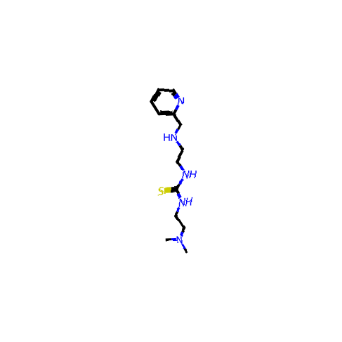 CN(C)CCNC(=S)NCCNCc1ccccn1